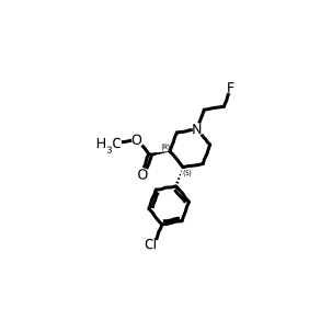 COC(=O)[C@H]1CN(CCF)CC[C@@H]1c1ccc(Cl)cc1